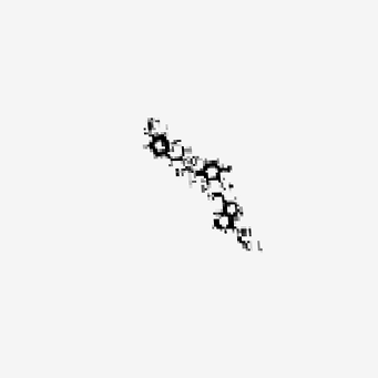 CCNc1ncnc2c(C(=O)Nc3c(F)ccc(NS(=O)(=O)C(CC)Cc4ccc(OC)cc4)c3F)snc12